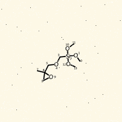 CO[Si](COCC1(C)CO1)(OC)OC